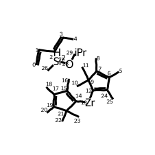 C=CC=CC.CC1=C(C)C(C)(C)[C]([Zr][C]2=C(C)C(C)=C(C)C2(C)C)=C1C.C[SiH2]OC(C)C